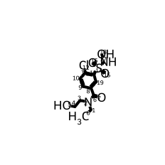 CCN(CCO)C(=O)c1ccc(Cl)c(S(=O)(=O)NO)c1